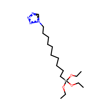 CCO[Si](CCCCCCCCCCn1cnnn1)(OCC)OCC